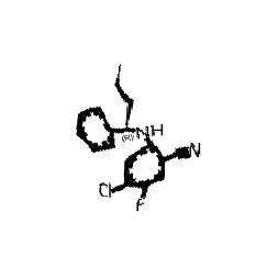 N#Cc1cc(F)c(Cl)cc1N[C@H](CCI)c1ccccc1